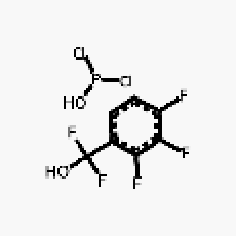 OC(F)(F)c1ccc(F)c(F)c1F.OP(Cl)Cl